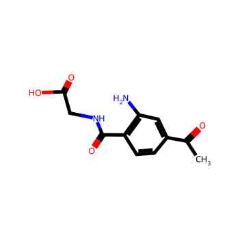 CC(=O)c1ccc(C(=O)NCC(=O)O)c(N)c1